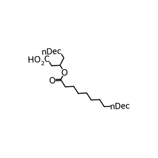 CCCCCCCCCCCCCCCCCC(=O)OC(CCCCCCCCCCC)CC(=O)O